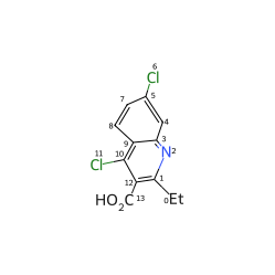 CCc1nc2cc(Cl)ccc2c(Cl)c1C(=O)O